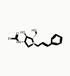 CCC(=O)N[C@H]1CN(C/C=C/c2ccccc2)[C@@H](CO)[C@@H]1O